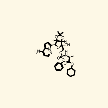 C[C@H](NP(=O)(OC[C@@]1(C#N)O[C@@H](c2ccc3c(N)ccnn23)[C@@H]2OC(C)(C)O[C@@H]21)Oc1ccccc1)C(=O)OC1CCCCC1